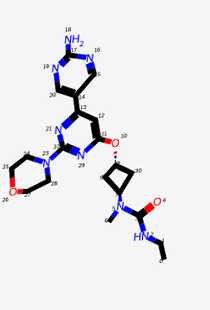 CCNC(=O)N(C)[C@H]1C[C@H](Oc2cc(-c3cnc(N)nc3)nc(N3CCOCC3)n2)C1